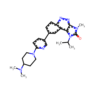 CC(C)n1c(=O)n(C)c2nnc3ccc(-c4ccc(N5CCC(N(C)C)CC5)nc4)cc3c21